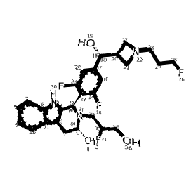 C[C@@H]1Cc2c([nH]c3ccccc23)[C@@H](c2c(F)cc([C@H](O)C3CN(CCCF)C3)cc2F)N1CC(F)CO